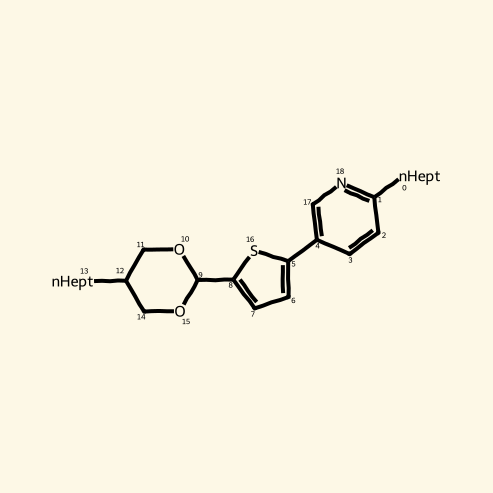 CCCCCCCc1ccc(-c2ccc(C3OCC(CCCCCCC)CO3)s2)cn1